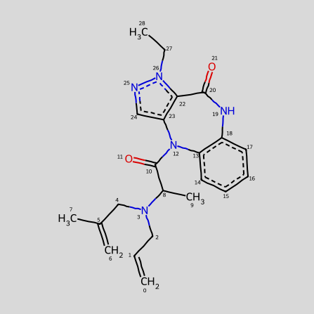 C=CCN(CC(=C)C)C(C)C(=O)N1c2ccccc2NC(=O)c2c1cnn2CC